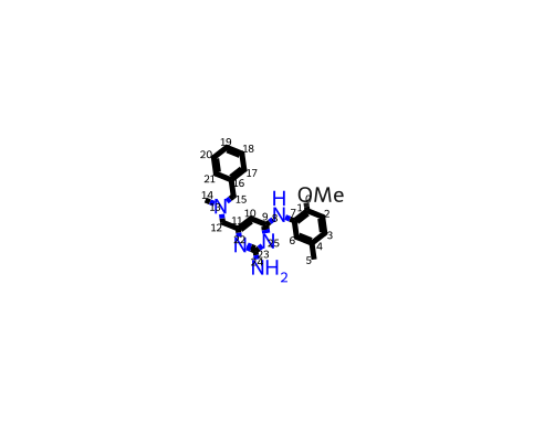 COc1ccc(C)cc1Nc1cc(CN(C)Cc2ccccc2)nc(N)n1